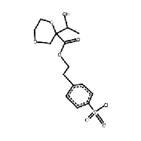 CC(O)C1(C(=O)OCCc2ccc(S(=O)(=O)Cl)cc2)COCCO1